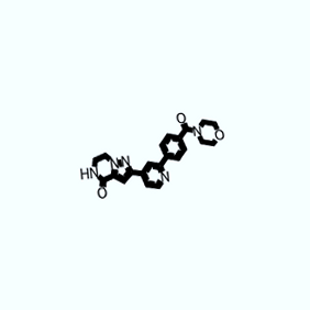 O=C1NCCn2nc(-c3ccnc(-c4ccc(C(=O)N5CCOCC5)cc4)c3)cc21